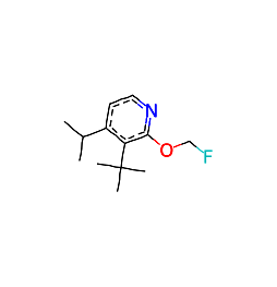 CC(C)c1ccnc(OCF)c1C(C)(C)C